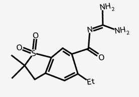 CCc1cc2c(cc1C(=O)N=C(N)N)S(=O)(=O)C(C)(C)C2